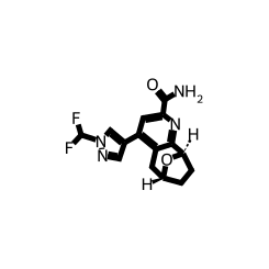 NC(=O)c1cc(-c2cnn(C(F)F)c2)c2c(n1)[C@H]1CC[C@H](C2)O1